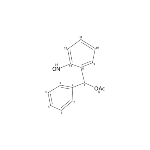 CC(=O)OC(c1ccccc1)c1ccccc1N=O